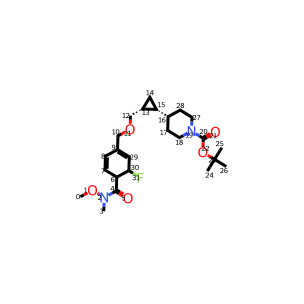 CON(C)C(=O)C1C=CC(COC[C@@H]2C[C@@H]2C2CCN(C(=O)OC(C)(C)C)CC2)=CC1F